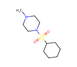 CN1CCN(S(=O)(=O)C2CCCCC2)CC1